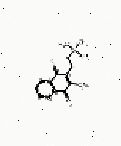 CC(=O)OC1=C(CC[Si](C)(C)C)C(=O)c2ccccc2C1=O